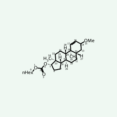 CCCCCCOC(=O)O[C@H]1CC[C@H]2[C@@H]3CC[C@H]4CC(OC)C=C[C@]4(C)[C@H]3CC[C@]12C